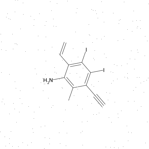 C#Cc1c(C)c(N)c(C=C)c(I)c1I